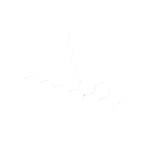 CCCCCCCCN(CCCCCCCC)C(=O)c1cc[c]c([N+](=O)[O-])c1